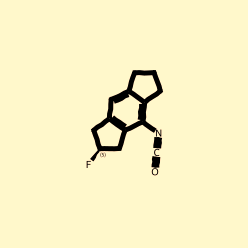 O=C=Nc1c2c(cc3c1C[C@@H](F)C3)CCC2